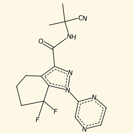 CC(C)(C#N)NC(=O)c1nn(-c2cnccn2)c2c1CCCC2(F)F